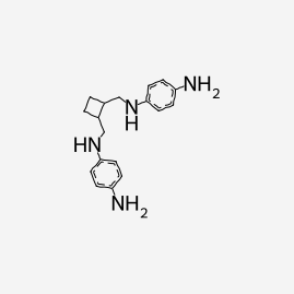 Nc1ccc(NCC2CCC2CNc2ccc(N)cc2)cc1